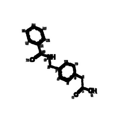 O=C(O)Cc1ccc(CNC(=O)c2ccccc2)cc1